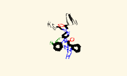 CC1CN(c2ccc(N(C(=O)c3n[nH]c4ccccc34)c3cccc(F)c3F)cn2)CC(C)O1